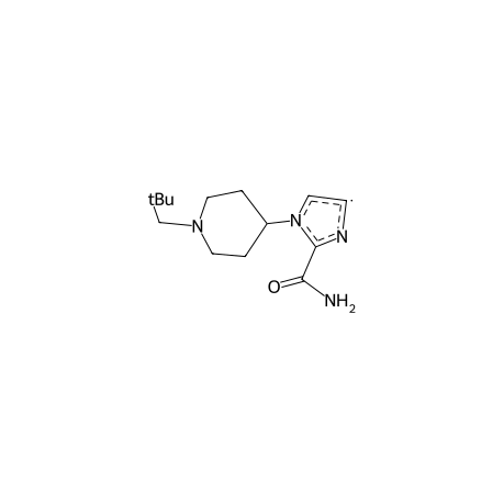 CC(C)(C)CN1CCC(n2c[c]nc2C(N)=O)CC1